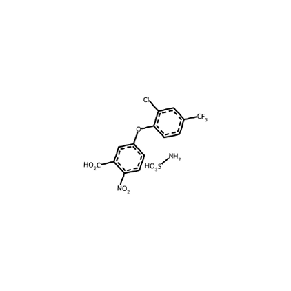 NS(=O)(=O)O.O=C(O)c1cc(Oc2ccc(C(F)(F)F)cc2Cl)ccc1[N+](=O)[O-]